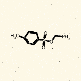 Cc1ccc(S(=O)(=O)OCP)cc1